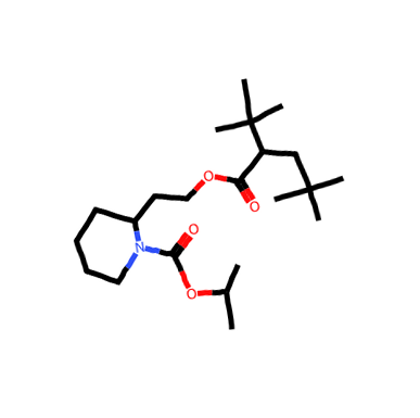 CC(C)OC(=O)N1CCCCC1CCOC(=O)C(CC(C)(C)C)C(C)(C)C